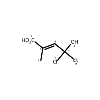 CCC(O)(Cl)C=C(C)C(=O)O